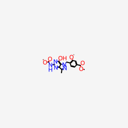 COC(=O)Nc1nc(O)c2c(n1)c(C)nn2Cc1ccc(C(=O)OC)cc1OC